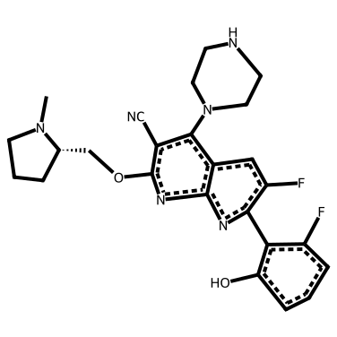 CN1CCC[C@H]1COc1nc2nc(-c3c(O)cccc3F)c(F)cc2c(N2CCNCC2)c1C#N